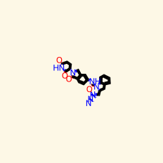 [N-]=[N+]=NCC1Cc2ccccc2N1C(=O)Nc1ccc2c(c1)CN(C1CCC(=O)NC1=O)C2=O